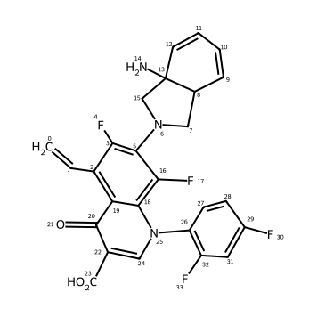 C=Cc1c(F)c(N2CC3C=CC=CC3(N)C2)c(F)c2c1c(=O)c(C(=O)O)cn2-c1ccc(F)cc1F